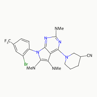 CNc1nc(N2CCCC(C#N)C2)c2c(NC)c(NC)n(-c3ccc(C(F)(F)F)cc3Br)c2n1